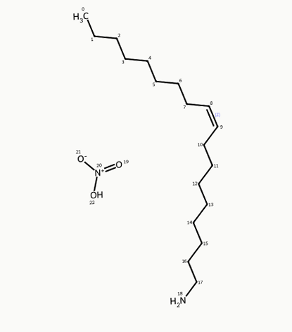 CCCCCCCC/C=C\CCCCCCCCN.O=[N+]([O-])O